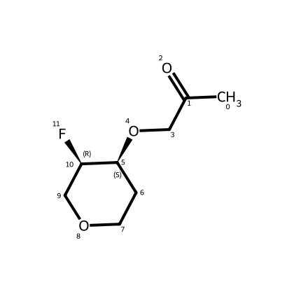 CC(=O)CO[C@H]1CCOC[C@H]1F